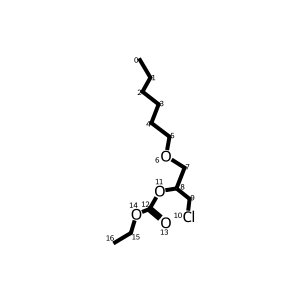 CCCCCCOCC(CCl)OC(=O)OCC